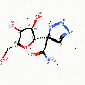 NC(=O)C1([C@@H]2O[C@H](CO)[C@@H](O)[C@H]2O)C=NN=N1